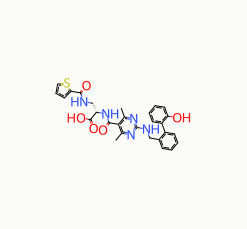 Cc1nc(NCc2ccccc2-c2ccccc2O)nc(C)c1C(=O)N[C@@H](CNC(=O)c1cccs1)C(=O)O